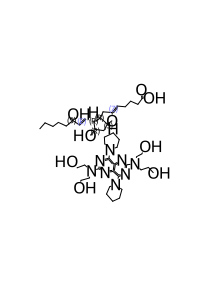 CCCCC[C@H](O)/C=C/[C@@H]1[C@H]2C/C(=C/CCCC(=O)O)O[C@H]2C[C@H]1O.OCCN(CCO)c1nc(N2CCCCC2)c2nc(N(CCO)CCO)nc(N3CCCCC3)c2n1